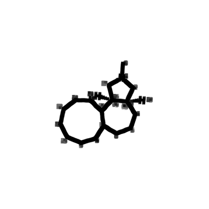 CN1C[C@H]2CCCC3CCCCCCCC3[C@H]2C1